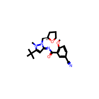 COc1ccc(C#N)cc1C(=O)N=c1cc(C(C)(C)C)n(C)n1C[C@H]1CCCO1